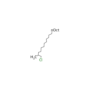 CCCCCCCCCCCCCCCCCCC(C)CCl